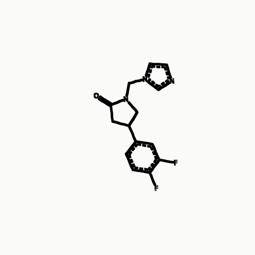 O=C1CC(c2ccc(F)c(F)c2)CN1Cn1ccnc1